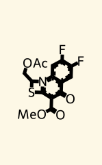 COC(=O)c1c2n(c3cc(F)c(F)cc3c1=O)C(COC(C)=O)S2